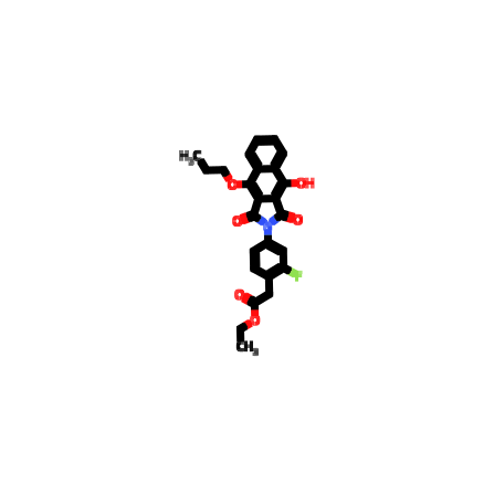 CCCOc1c2c(c(O)c3ccccc13)C(=O)N(c1ccc(CC(=O)OCC)c(F)c1)C2=O